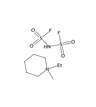 CC[N+]1(C)CCCCC1.O=S(=O)(F)NS(=O)(=O)F